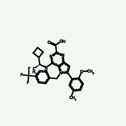 COc1ccc(C)cc1-c1cc2nc(C(=O)O)nc(N[C@H](C)C3CCC3)c2n1Cc1ccc(C(F)(F)F)cc1